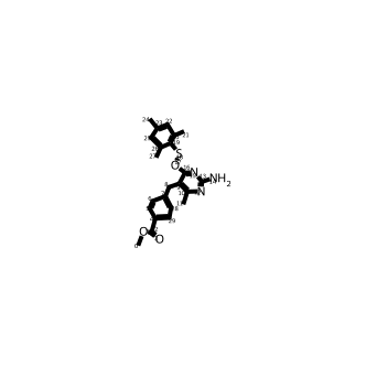 COC(=O)c1ccc(Cc2c(C)nc(N)nc2OSc2c(C)cc(C)cc2C)cc1